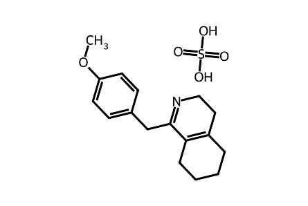 COc1ccc(CC2=NCCC3=C2CCCC3)cc1.O=S(=O)(O)O